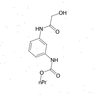 CCCOC(=O)Nc1cccc(NC(=O)CO)c1